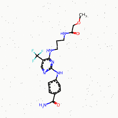 COCC(=O)NCCCNc1nc(Nc2ccc(C(N)=O)cc2)ncc1C(F)(F)F